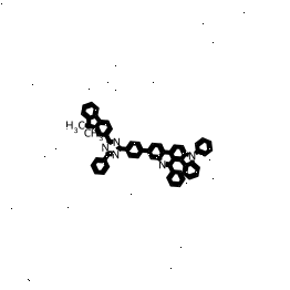 CC1(C)c2ccccc2-c2ccc(-c3nc(-c4ccccc4)nc(-c4ccc(-c5ccc6c(c5)nc(-c5ccccc5)c5c6ccc6c5c5ccccc5n6-c5ccccc5)cc4)n3)cc21